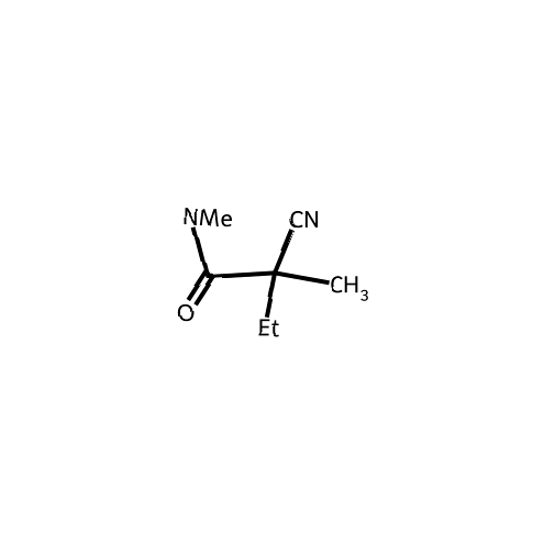 CCC(C)(C#N)C(=O)NC